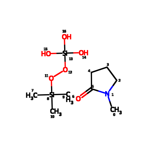 CN1CCCC1=O.C[Si](C)(C)OO[Si](O)(O)O